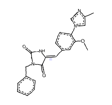 COc1cc(/C=C2\NC(=O)N(Cc3ccccc3)C2=O)ccc1-n1cnc(C)c1